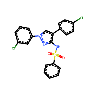 O=S(=O)(Nc1nn(-c2cccc(Cl)c2)cc1-c1ccc(Cl)cc1)c1ccccc1